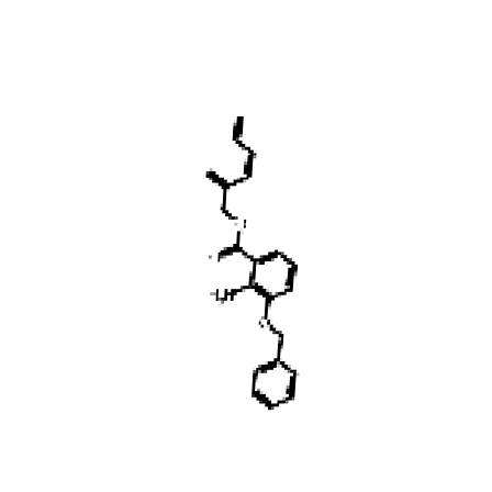 C=C/C=C\C(=C)COC(=O)c1cccc(OCc2ccccc2)c1N